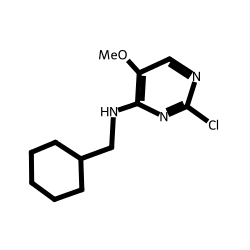 COc1cnc(Cl)nc1NCC1CCCCC1